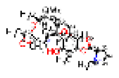 C=C1O[C@H]([C@@H](C)O)[C@H](C)/C=C(\C)[C@]23O[C@@H]4[C@H](C=C[C@@H]2C[C@@H]1OC)[C@H]3[C@H](O)[C@@H](C)[C@H]4OC(=O)c1cccn1C